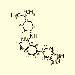 CN(C)[C@H]1CC[C@H](Nc2ncnc3ccc(-c4cnc5[nH]ncc5c4)cc23)CC1